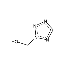 OCn1ncnn1